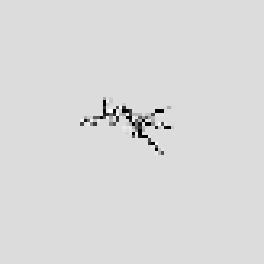 CCCCCCC(C)(CC)N(C(=O)C(C)(C)CC(C)(C)CC(=O)NCCOCC)C(C)(CCCCCC)CCCCCC